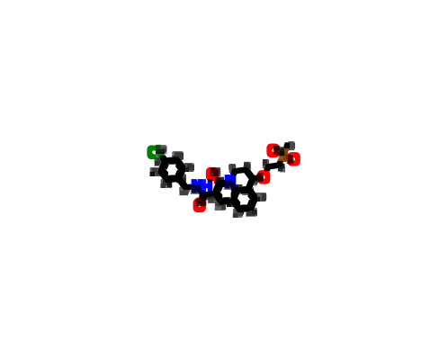 CS(=O)(=O)CCOC1CCn2c(=O)c(C(=O)NCc3ccc(Cl)cc3)cc3cccc1c32